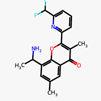 Cc1cc(C(C)N)c2oc(-c3cccc(C(F)F)n3)c(C)c(=O)c2c1